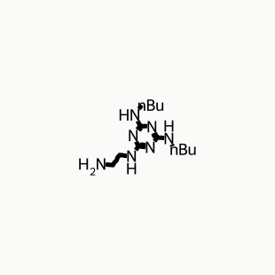 CCCCNc1nc(NCCN)nc(NCCCC)n1